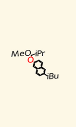 CCC(C)c1ccc2cc(OC(OC)C(C)C)ccc2c1